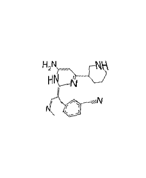 C/N=C\C(=C1\N=C(C2CCCNC2)C=C(N)N1)c1cccc(C#N)c1